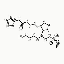 C1CCCC1.CCCCC(=O)Cc1cccs1.CCCCCCCCS(=O)(=O)OF